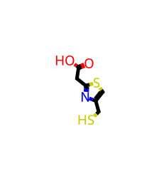 O=C(O)Cc1nc(CS)cs1